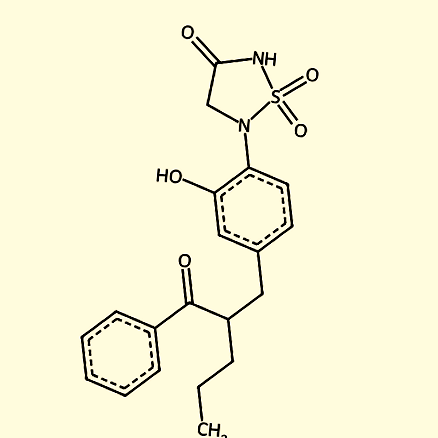 CCCC(Cc1ccc(N2CC(=O)NS2(=O)=O)c(O)c1)C(=O)c1ccccc1